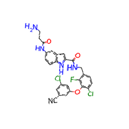 N#Cc1cc(Cl)cc(Oc2c(Cl)ccc(CNC(=O)c3cc4cc(NC(=O)CCN)ccc4[nH]3)c2F)c1